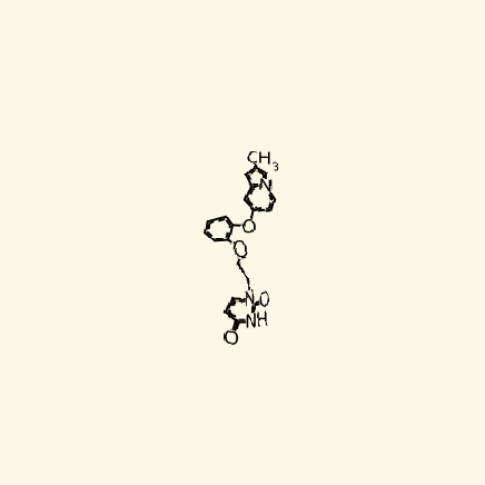 Cc1cc2cc(Oc3ccccc3OCCn3ccc(=O)[nH]c3=O)ccn2c1